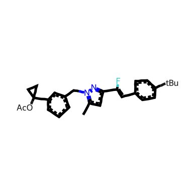 CC(=O)OC1(c2cccc(Cn3nc(/C(F)=C/c4ccc(C(C)(C)C)cc4)cc3C)c2)CC1